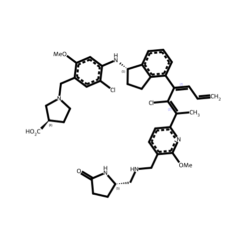 C=C/C=C(\C(Cl)=C(/C)c1ccc(CNC[C@@H]2CCC(=O)N2)c(OC)n1)c1cccc2c1CC[C@@H]2Nc1cc(OC)c(CN2CC[C@@H](C(=O)O)C2)cc1Cl